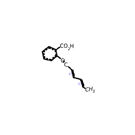 C/C=C/C=C/COc1ccccc1C(=O)O